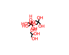 OCC(CO)(CO)CO.OCC(CO)(CO)CO.OCC(O)CO